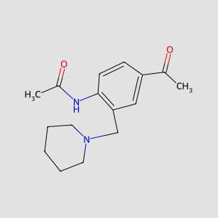 CC(=O)Nc1ccc(C(C)=O)cc1CN1CCCCC1